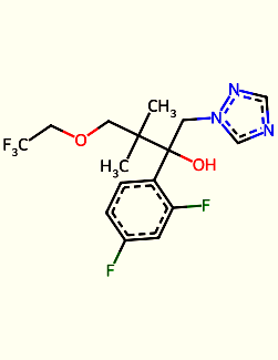 CC(C)(COCC(F)(F)F)C(O)(Cn1cncn1)c1ccc(F)cc1F